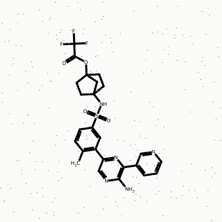 Cc1ccc(S(=O)(=O)NC23CCC(OC(=O)C(F)(F)F)(CC2)C3)cc1-c1cnc(N)c(-c2cccnc2)n1